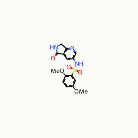 COc1ccc(OC)c(S(=O)(=O)Nc2cnc3c(c2)C(=O)NC3)c1